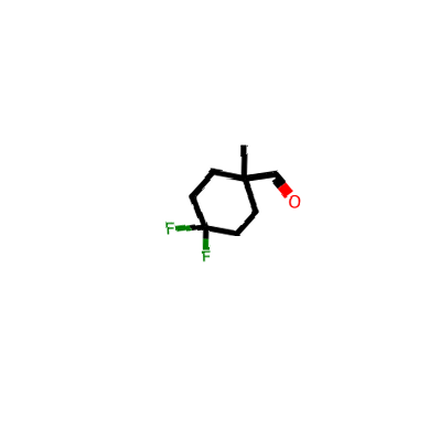 CC1(C=O)CCC(F)(F)CC1